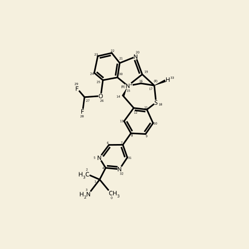 CC(C)(N)c1ncc(-c2ccc3c(c2)C[N@+]24C[C@@H](S3)C2=Nc2cccc(OC(F)F)c24)cn1